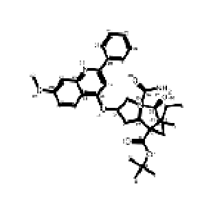 CCC1CC1(C(=O)OC(C)(C)C)C1CC(Oc2cc(-c3ccccc3)nc3cc(OC)ccc23)C[N+]1(C(N)=O)C(=O)OC